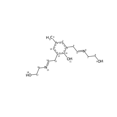 Cc1cc(CC=NCCO)c(O)c(CC=NCCO)c1